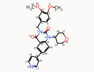 COc1ccc(Cn2c(=O)c3cc(-c4ccncc4)ccc3n(C3CCOCC3)c2=O)cc1OC